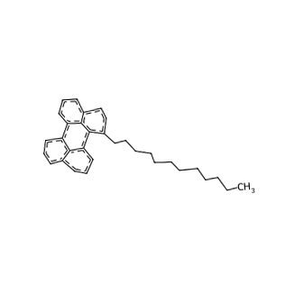 CCCCCCCCCCCCc1ccc2cccc3c4cccc5cccc(c1c23)c54